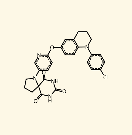 O=C1NC(=O)C2(CCCN2c2ccc(Oc3ccc4c(c3)CCCN4c3ccc(Cl)cc3)nc2)C(=O)N1